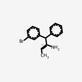 C/C=C(\N)C(c1ccccc1)c1cccc(Br)c1